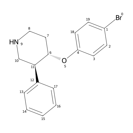 Brc1ccc(O[C@H]2CCNC[C@@H]2c2ccccc2)cc1